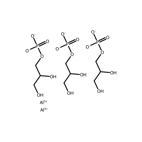 O=P([O-])([O-])OCC(O)CO.O=P([O-])([O-])OCC(O)CO.O=P([O-])([O-])OCC(O)CO.[Al+3].[Al+3]